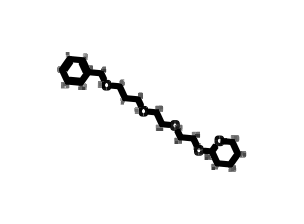 c1ccc(COCCCOCCOCCOC2CCCCO2)cc1